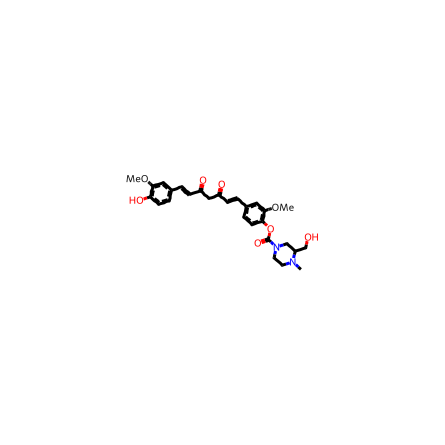 COc1cc(C=CC(=O)CC(=O)C=Cc2ccc(OC(=O)N3CCN(C)C(CO)C3)c(OC)c2)ccc1O